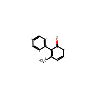 O=C(O)C1=C(c2ccccc2)C(=O)CC=C1